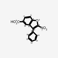 O=C(O)c1ccc2oc([N+](=O)[O-])c(-c3ccccc3)c2c1